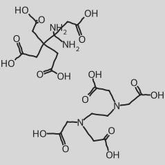 NC(N)(CC(=O)O)C(CC(=O)O)(CC(=O)O)CC(=O)O.O=C(O)CN(CCN(CC(=O)O)CC(=O)O)CC(=O)O